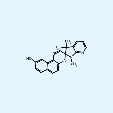 CN1c2ncccc2C(C)(C)C12C=Nc1c(ccc3ccc(O)cc13)O2